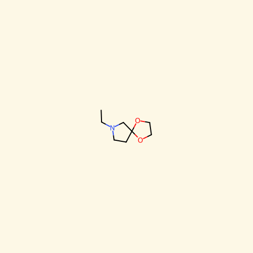 CCN1CCC2(C1)OCCO2